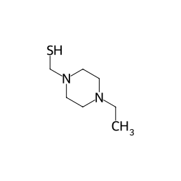 CCN1CCN(CS)CC1